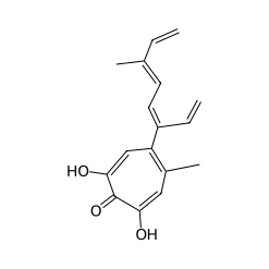 C=C/C(C)=C/C=C(\C=C)c1cc(O)c(=O)c(O)cc1C